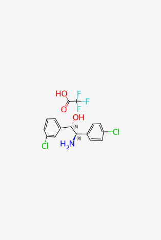 N[C@H](c1ccc(Cl)cc1)[C@@H](O)c1cccc(Cl)c1.O=C(O)C(F)(F)F